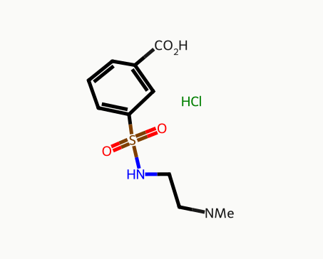 CNCCNS(=O)(=O)c1cccc(C(=O)O)c1.Cl